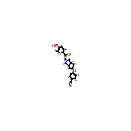 N#Cc1ccc(O[C@@H]2CC3CN(CC(=O)c4ccc(O)c(F)n4)C[C@H]3C2)cc1